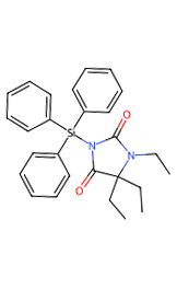 CCN1C(=O)N([Si](c2ccccc2)(c2ccccc2)c2ccccc2)C(=O)C1(CC)CC